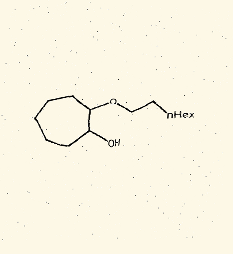 CCCCCCCCOC1CCCCCC1O